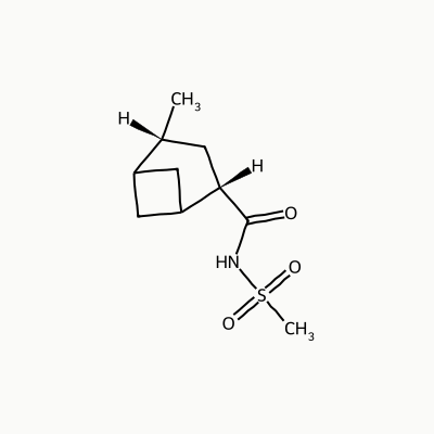 C[C@@H]1C[C@H](C(=O)NS(C)(=O)=O)C2CC1C2